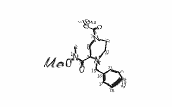 CON(C)C(=O)C1CN(C(=O)OC(C)(C)C)CCN1Cc1ccccc1